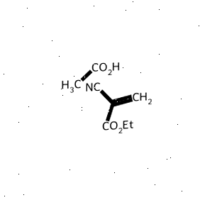 C=C(C#N)C(=O)OCC.CC(=O)O